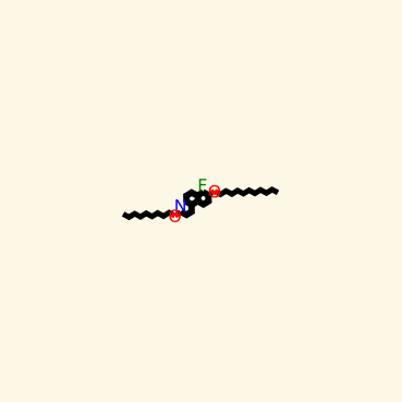 CCCCCCCCCCCOc1ccc2c(ccc3nc(OCCCCCCCCC)ccc32)c1F